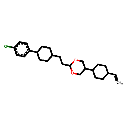 C=CC1CCC(C2COC(CCC3CCC(c4ccc(Cl)cc4)CC3)OC2)CC1